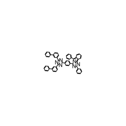 c1ccc(-c2cccc(-c3nc(-c4ccc(-c5nc(-c6ccccc6)nc6c7ccccc7c(-c7ccccc7)n56)cc4)nc(-c4cccc(-c5ccccc5)c4)n3)c2)cc1